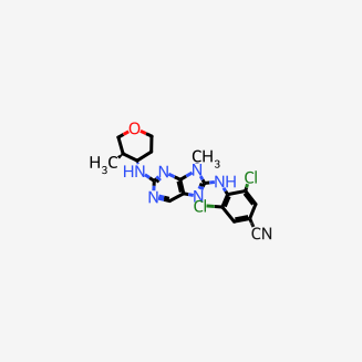 C[C@H]1COCC[C@@H]1Nc1ncc2nc(Nc3c(Cl)cc(C#N)cc3Cl)n(C)c2n1